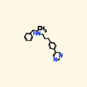 CC(Cc1ccccc1)NCCCc1ccc(-c2cncnc2)cc1